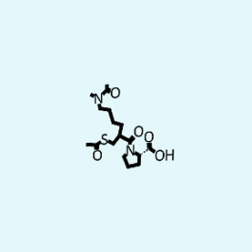 CC(=O)SCC(CCCCN(C)C(C)=O)C(=O)N1CCC[C@H]1C(=O)O